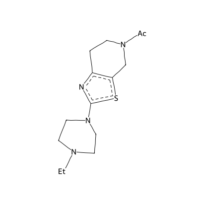 CCN1CCN(c2nc3c(s2)CN(C(C)=O)CC3)CC1